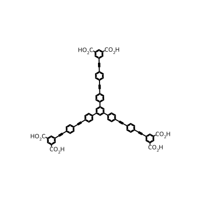 O=C(O)c1cc(C#Cc2ccc(C#Cc3ccc(-c4cc(-c5ccc(C#Cc6ccc(C#Cc7cc(C(=O)O)cc(C(=O)O)c7)cc6)cc5)cc(-c5ccc(C#Cc6ccc(C#Cc7cc(C(=O)O)cc(C(=O)O)c7)cc6)cc5)c4)cc3)cc2)cc(C(=O)O)c1